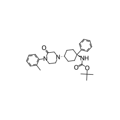 Cc1ccccc1N1CCN([C@H]2CC[C@@](NC(=O)OC(C)(C)C)(c3ccccc3)CC2)CC1=O